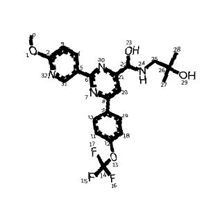 COc1ccc(-c2nc(-c3ccc(OC(F)(F)F)cc3)cc(C(O)NCC(C)(C)O)n2)cn1